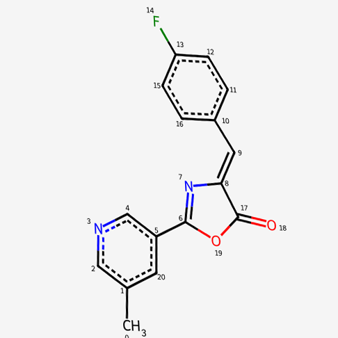 Cc1cncc(C2=N/C(=C\c3ccc(F)cc3)C(=O)O2)c1